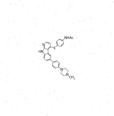 CC(=O)Nc1ccc(Sc2ccnc3[nH]c4ccc(-c5ccc(N6CCN(C)CC6)cc5)cc4c23)cc1